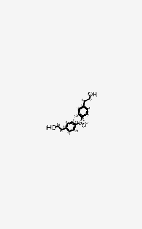 [O-][S+](c1ccc(CCO)cc1)c1ccc(CCO)cc1